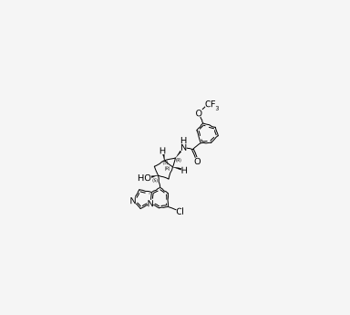 O=C(N[C@H]1[C@@H]2C[C@](O)(c3cc(Cl)cn4cncc34)C[C@@H]21)c1cccc(OC(F)(F)F)c1